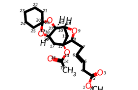 COC(=O)C/C=C/CC1O[C@@H]2C[C@@]1(OC(C)=O)C[C@H]1OC3(CCCCC3)O[C@@H]21